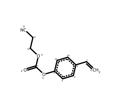 C=Cc1ccc(OC(=O)OCCC#N)cc1